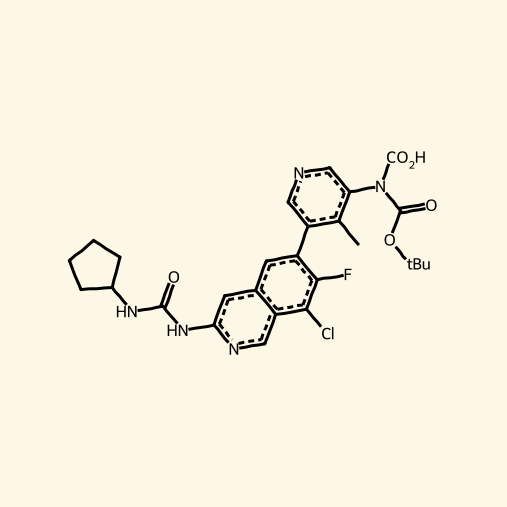 Cc1c(-c2cc3cc(NC(=O)NC4CCCC4)ncc3c(Cl)c2F)cncc1N(C(=O)O)C(=O)OC(C)(C)C